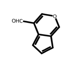 O=Cc1cocc2cccc1-2